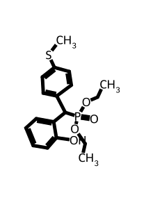 CCOP(=O)(OCC)C(c1ccc(SC)cc1)c1ccccc1O